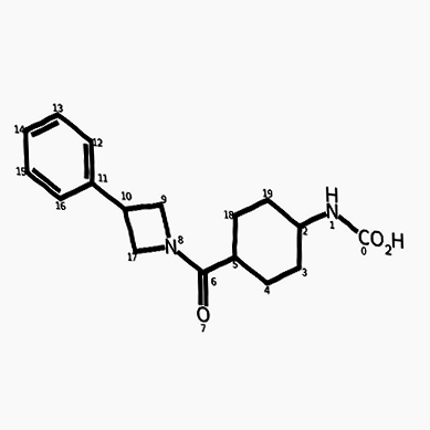 O=C(O)NC1CCC(C(=O)N2CC(c3ccccc3)C2)CC1